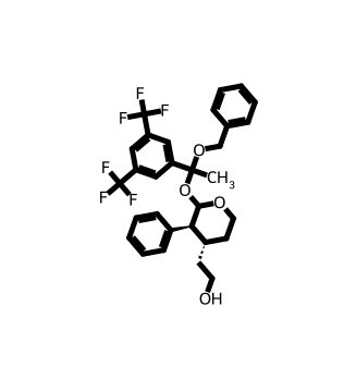 CC(OCc1ccccc1)(OC1OCC[C@H](CCO)[C@H]1c1ccccc1)c1cc(C(F)(F)F)cc(C(F)(F)F)c1